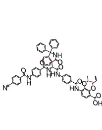 C=CCOc1c(C(=O)O)ccc(NC(=O)c2ccc(NC(=O)C(CC(=O)NC(c3ccccc3)(c3ccccc3)c3ccccc3)NC(=O)c3ccc(NC(=O)c4ccc(C#N)cc4)cc3)cc2)c1OC(C)C